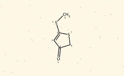 CSC1=CC(=O)CS1